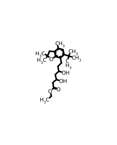 CCOC(=O)CC(O)CC(O)CCc1c(C(C)(C)C)cc(C)c2c1OC(C)(C)C2